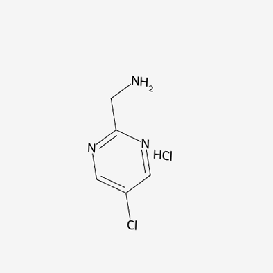 Cl.NCc1ncc(Cl)cn1